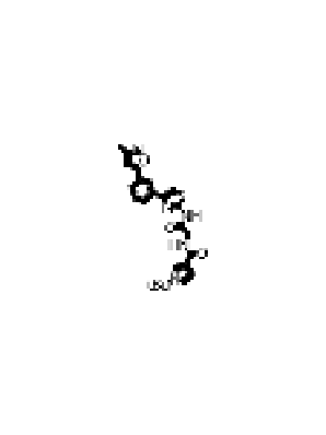 Cc1cc(-c2cccc(-c3csc(NC(=O)CNC(=O)c4ccn(C(C)(C)C)c4)n3)c2)on1